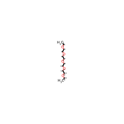 C=COCCOCCOCCOCCOCC